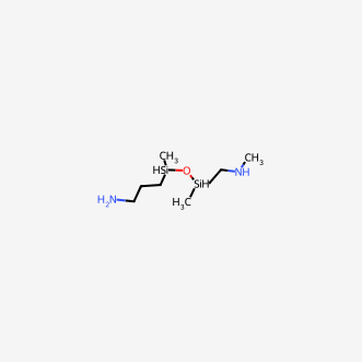 CNCC[SiH](C)O[SiH](C)CCCN